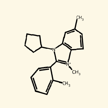 Cc1ccc2c(c1)n(C1CCCC1)c(-c1ccccc1C)[n+]2C